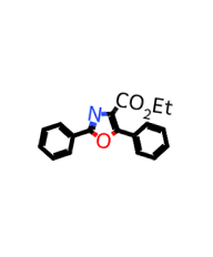 CCOC(=O)c1nc(-c2ccccc2)oc1-c1ccccc1